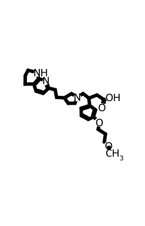 COCCCOc1cccc(C(CC(=O)O)CN2CCC(CCc3ccc4c(n3)NCCC4)C2)c1